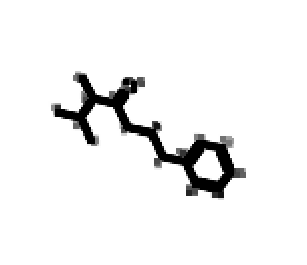 C[C](C)C(C)C(=O)CCCc1ccccc1